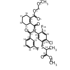 COCOC(=O)C1=C(C(=O)N(C(=O)c2cccc(F)c2)c2cc(SC(C)C(=O)OC)c(Cl)cc2F)CCCC1